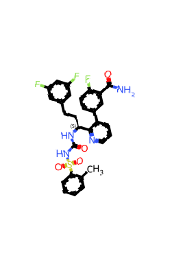 Cc1ccccc1S(=O)(=O)NC(=O)N[C@@H](CCc1cc(F)cc(F)c1)c1ncccc1-c1ccc(F)c(C(N)=O)c1